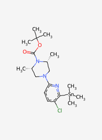 C[C@@H]1CN(c2ccc(Cl)[c]([Sn]([CH3])([CH3])[CH3])n2)C[C@H](C)N1C(=O)OC(C)(C)C